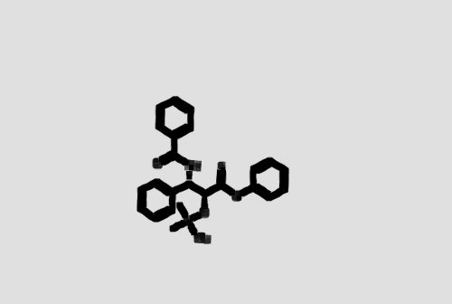 CC(C)(C)[Si](C)(C)O[C@H](C(=S)Oc1ccccc1)[C@@H](NC(=O)c1ccccc1)c1ccccc1